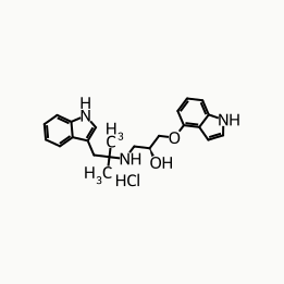 CC(C)(Cc1c[nH]c2ccccc12)NC[C@H](O)COc1cccc2[nH]ccc12.Cl